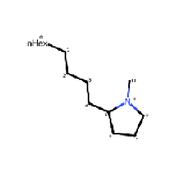 CCCCCCCCCCC1CCCN1C